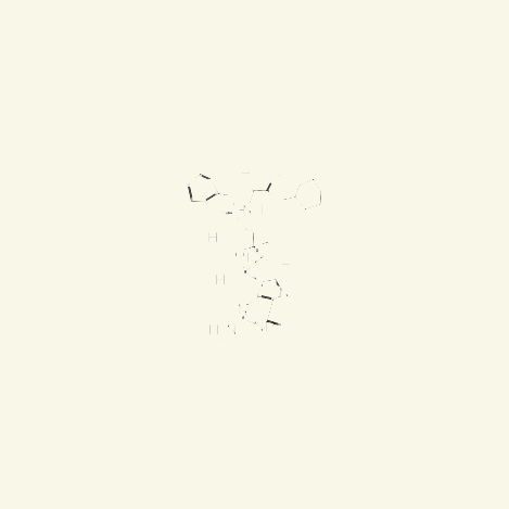 CO[C@](F)(COP(=O)(NC(C)C(=O)OC1CCCCC1)Oc1ccccc1)[C@@H](O)C(C)(O)n1cnc2c(=O)[nH]c(N)nc21